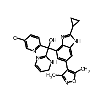 Cc1noc(C)c1-c1cc(C(O)(C2=NC=CCN2)c2ccc(Cl)cn2)c2nc(C3CC3)[nH]c2c1